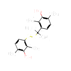 CC(C)(C)c1ccc(SSC(C)(C)c2ccc(C(C)(C)C)c(O)c2C(C)(C)C)c(C(C)(C)C)c1O